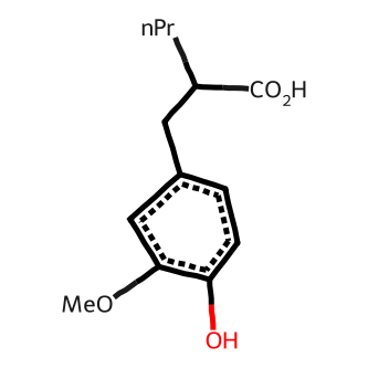 CCCC(Cc1ccc(O)c(OC)c1)C(=O)O